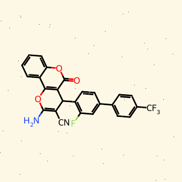 N#CC1=C(N)Oc2c(c(=O)oc3ccccc23)C1c1ccc(-c2ccc(C(F)(F)F)cc2)cc1F